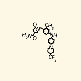 Cc1cc(Nc2ccc(N3CCC(C(F)(F)F)CC3)cc2)ccc1CN1CC(C(N)=O)CC1=O